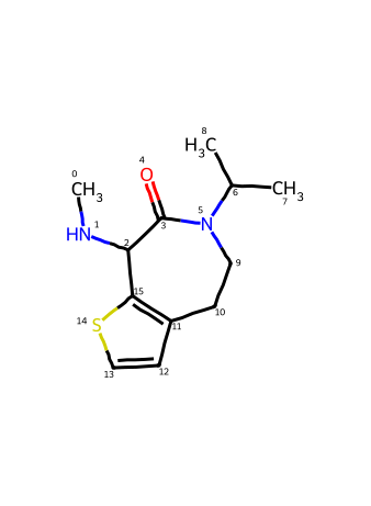 CNC1C(=O)N(C(C)C)CCc2ccsc21